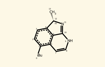 CCC(C)c1ccc2c3c1C=CNC3=N[C@H]2C